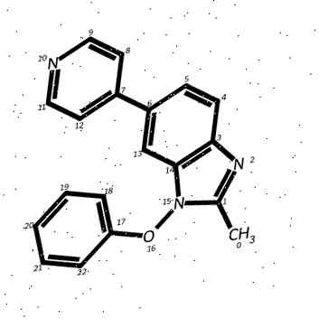 Cc1nc2ccc(-c3ccncc3)cc2n1Oc1ccccc1